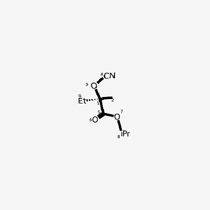 CC[C@@](C)(OC#N)C(=O)OC(C)C